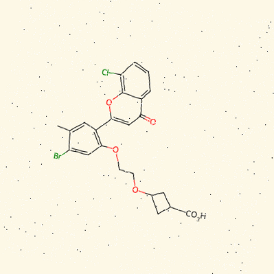 Cc1cc(-c2cc(=O)c3cccc(Cl)c3o2)c(OCCOC2CC(C(=O)O)C2)cc1Br